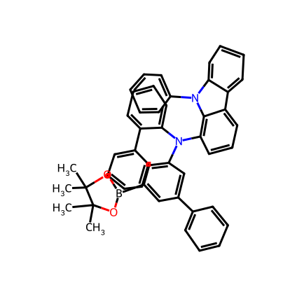 CC1(C)OB(c2cc(-c3ccccc3)cc(N(c3ccccc3-c3ccccc3)c3cccc4c5ccccc5n(-c5ccccc5)c34)c2)OC1(C)C